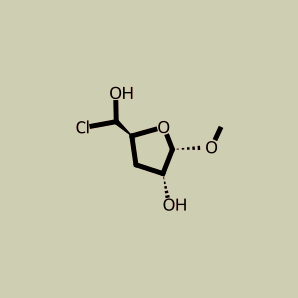 CO[C@H]1O[C@H](C(O)Cl)C[C@H]1O